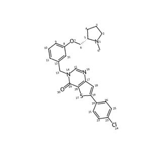 CN1CCC[C@H]1COc1cccc(Cn2cnc3cc(-c4ccc(Cl)cc4)sc3c2=O)c1